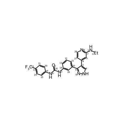 CCNc1cc(-c2c[nH]nc2-c2cccc(NC(=O)Nc3ccc(C(F)(F)F)cc3)c2)ccn1